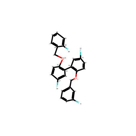 Fc1cccc(COc2[c]cc(F)cc2-c2cc(F)ccc2OCc2ccccc2F)c1